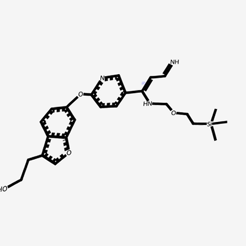 C[Si](C)(C)CCOCN/C(=C\C=N)c1ccc(Oc2ccc3c(CCO)coc3c2)nc1